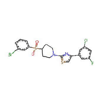 O=S(=O)(c1cccc(Br)c1)C1CCN(c2nc(-c3cc(F)cc(Cl)c3)cs2)CC1